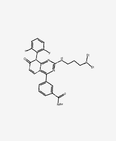 CCN(CC)CCCNc1nc(-c2cccc(C(=O)NC)c2)c2ccc(=O)n(-c3c(F)cccc3F)c2n1